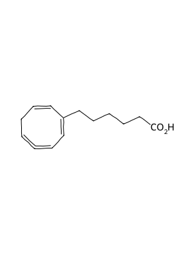 O=C(O)CCCCCC1=C/C=C=CC/C=C\1